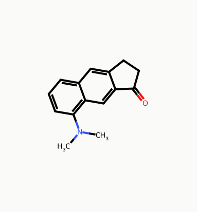 CN(C)c1cccc2cc3c(cc12)C(=O)CC3